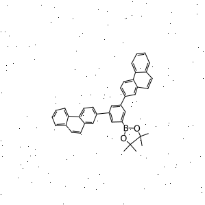 CC1(C)OB(c2cc(-c3ccc4c(ccc5ccccc54)c3)cc(-c3ccc4c(ccc5ccccc54)c3)c2)OC1(C)C